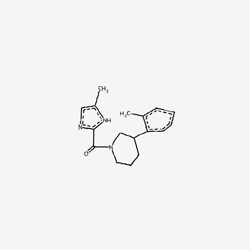 Cc1cnc(C(=O)N2CCCC(c3ccccc3C)C2)[nH]1